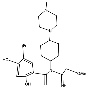 C=C(c1cc(C(C)C)c(O)cc1O)N(C(=N)COC)C1CCC(N2CCN(C)CC2)CC1